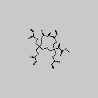 C=CC(=O)OCC(COCC(COC(=O)C=C)(COC(=O)C=C)C(=C)C(=O)OC)(COC(=O)C=C)COC(=O)C=C